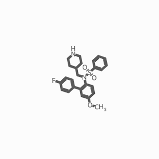 COc1ccc(N(CC2CCNCC2)S(=O)(=O)c2ccccc2)c(-c2ccc(F)cc2)c1